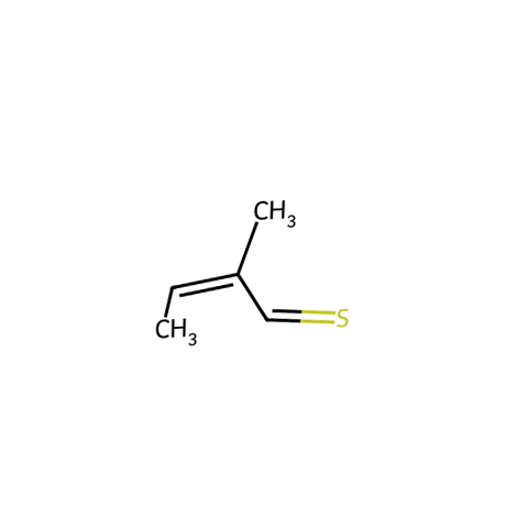 CC=C(C)C=S